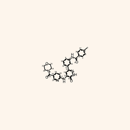 Cc1ccc(C(=O)Nc2cccc(-c3cc(Nc4ccc(C(=O)N5CCOCC5)cn4)c(=O)[nH]n3)c2)cc1